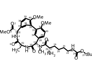 COC(=O)[C@H]1NC(=O)[C@H](C)NC(=O)[C@@H](N(C)C(=O)[C@@H](N)CCCCNC(=O)OC(C)(C)C)c2ccc(OC)c(c2)-c2cc1ccc2OC